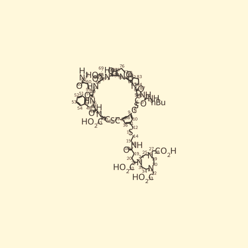 CCCCNC(=O)N[C@H]1CSCc2cc(CSCCNC(=O)CCC(C(=O)O)N3CCN(CC(=O)O)CCN(CC(=O)O)CC3)cc(c2)CSC[C@@H](C(=O)O)NC(=O)[C@H](Cc2ccccc2)NC(=O)[C@H](CCC(N)=O)NC(=O)[C@H]([C@@H](C)O)NC(=O)[C@@H]2CCCN2C(=O)[C@@H]2CCCN2C1=O